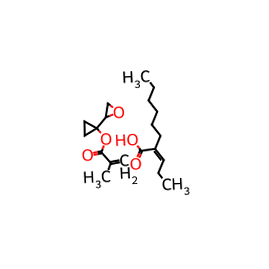 C=C(C)C(=O)OC1(C2CO2)CC1.CCC=C(CCCCCC)C(=O)O